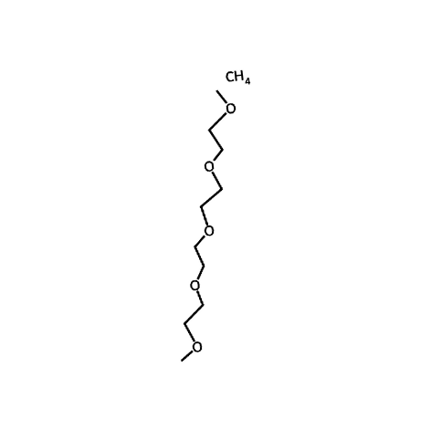 C.COCCOCCOCCOCCOC